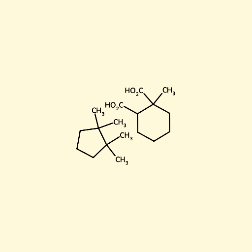 CC1(C(=O)O)CCCCC1C(=O)O.CC1(C)CCCC1(C)C